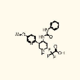 COc1ccc([C@@H]2CNCC[C@H]2NC(=O)Nc2ccccc2)nc1.O=C(O)C(F)(F)F